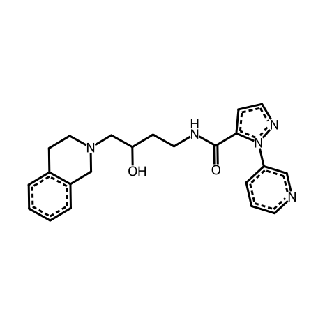 O=C(NCCC(O)CN1CCc2ccccc2C1)c1ccnn1-c1cccnc1